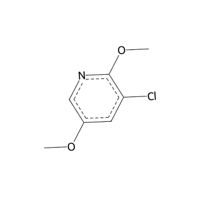 COc1cnc(OC)c(Cl)c1